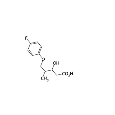 CC(COc1ccc(F)cc1)C(O)CC(=O)O